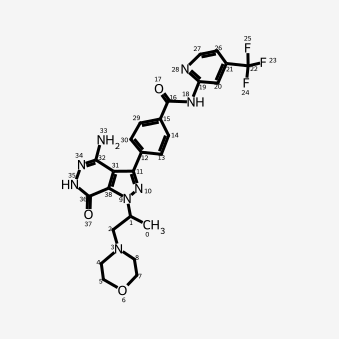 CC(CN1CCOCC1)n1nc(-c2ccc(C(=O)Nc3cc(C(F)(F)F)ccn3)cc2)c2c(N)n[nH]c(=O)c21